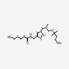 CN(COC(C)(C)CCC(C)(C)C)Cn1cc(CNC(=O)CCCCC(C)(C)C)nn1